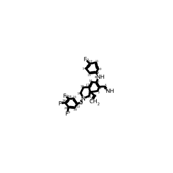 C=CC12CC(C=N)=C(Nc3ccc(F)cc3)C=C1CCN(Sc1cc(F)c(F)c(F)c1)C2